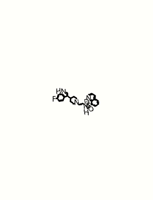 O=S(=O)(NCCN1CCC(c2c[nH]c3cc(F)ccc23)CC1)c1cccc2cccnc12